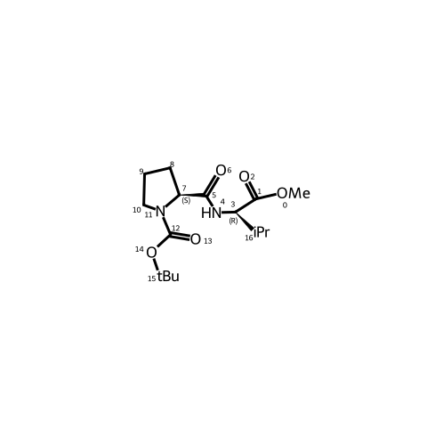 COC(=O)[C@H](NC(=O)[C@@H]1CCCN1C(=O)OC(C)(C)C)C(C)C